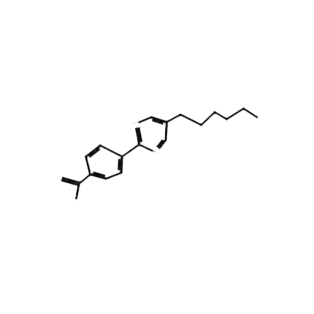 CCCCCCc1cnc(-c2ccc(C(=O)Cl)cc2)nc1